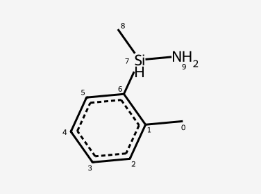 Cc1ccccc1[SiH](C)N